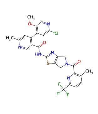 COc1cnc(Cl)cc1-c1cc(C)ncc1C(=O)Nc1nc2c(s1)CN(C(=O)c1nc(C(F)(F)F)ccc1C)C2